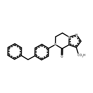 O=C(O)c1cnn2c1C(=O)N(c1ccc(Cc3ccccc3)cc1)CC2